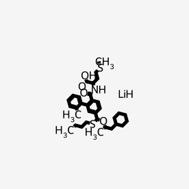 CCCCSC(OC(C)CC1CCCCC1)c1ccc(C(=O)NC(CCSC)C(=O)O)c(-c2ccccc2C)c1.[LiH]